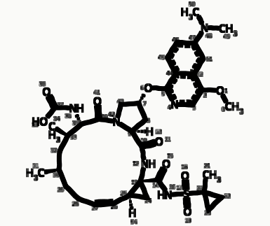 COc1cnc(O[C@@H]2C[C@H]3C(=O)N[C@]4(C(=O)NS(=O)(=O)C5(C)CC5)C[C@H]4C=CCC[C@@H](C)C[C@@H](C)[C@H](NC(=O)O)C(=O)N3C2)c2ccc(N(C)C)cc12